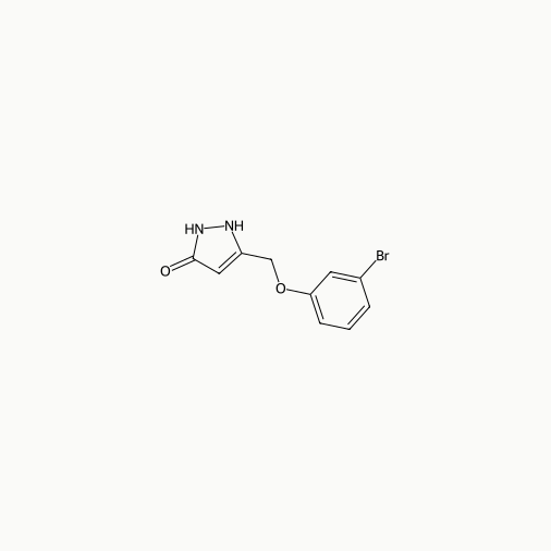 O=c1cc(COc2cccc(Br)c2)[nH][nH]1